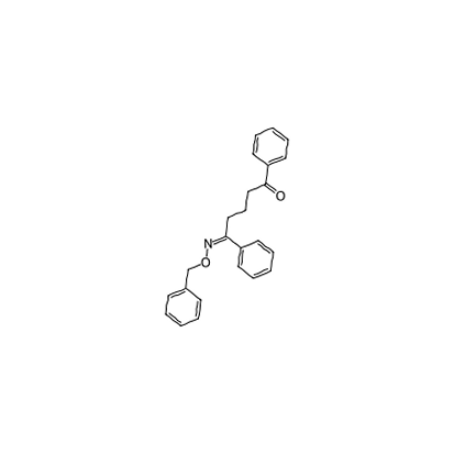 O=C(CCCC(=NOCc1ccccc1)c1ccccc1)c1ccccc1